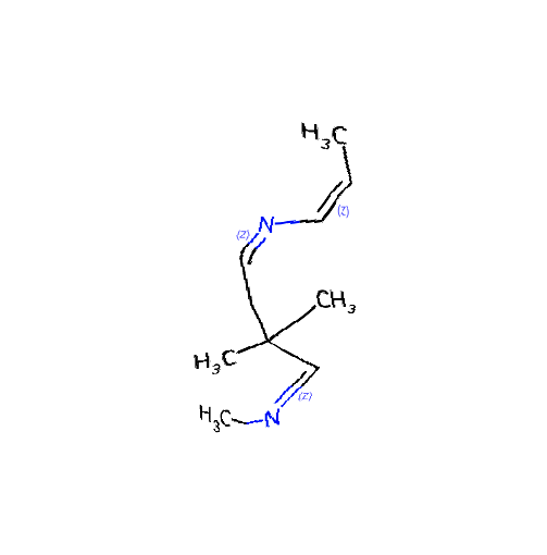 C/C=C\N=C/C(C)(C)/C=N\C